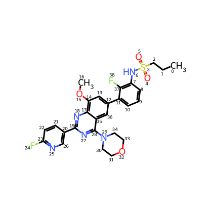 CCCS(=O)(=O)Nc1cccc(-c2cc(OC)c3nc(-c4ccc(F)nc4)nc(N4CCOCC4)c3c2)c1F